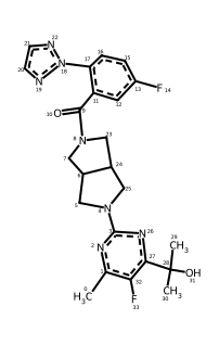 Cc1nc(N2CC3CN(C(=O)c4cc(F)ccc4-n4nccn4)CC3C2)nc(C(C)(C)O)c1F